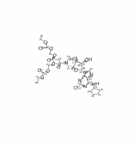 CCOC(=O)OCOP(=O)(CC(=O)N(C)C[C@H]1O[C@@H](n2cnc3c(NC4CCCC4)nc(Cl)nc32)[C@H](O)[C@@H]1O)OCOC(=O)OCC